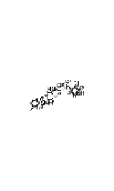 Cc1cccc(S(=O)(=O)N[C@H]2CC[C@H](NC(=O)O[C@@H]3CCN(c4cn[nH]c(=O)c4Cl)C3)CC2)c1